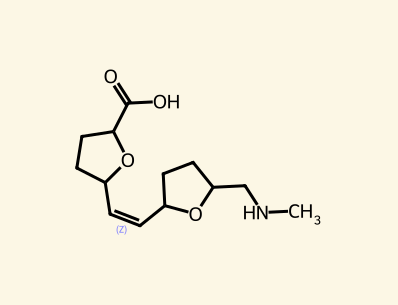 CNCC1CCC(/C=C\C2CCC(C(=O)O)O2)O1